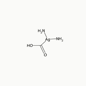 [NH2][Ag]([NH2])[C](=O)O